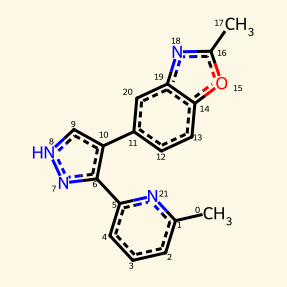 Cc1cccc(-c2n[nH]cc2-c2ccc3oc(C)nc3c2)n1